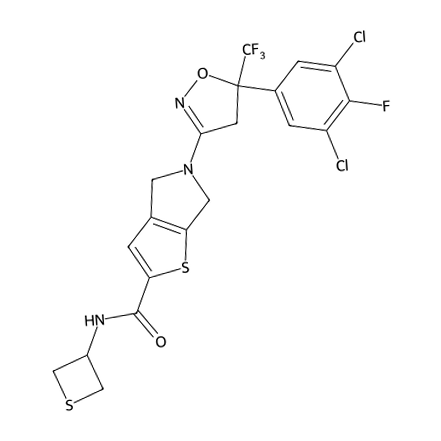 O=C(NC1CSC1)c1cc2c(s1)CN(C1=NOC(c3cc(Cl)c(F)c(Cl)c3)(C(F)(F)F)C1)C2